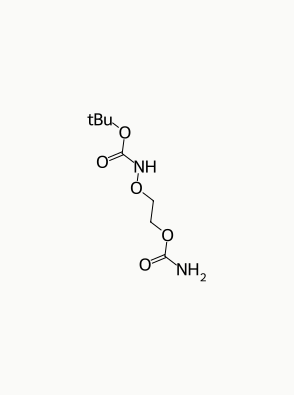 CC(C)(C)OC(=O)NOCCOC(N)=O